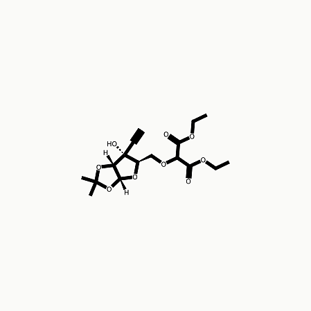 C#C[C@@]1(O)[C@@H](COC(C(=O)OCC)C(=O)OCC)O[C@@H]2OC(C)(C)O[C@@H]21